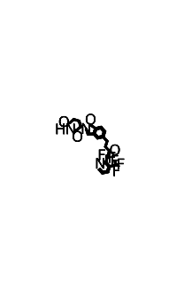 O=C1CCC(N2Cc3cc(CCC(=O)C(F)(F)c4ncccc4C(F)(F)F)ccc3C2=O)C(=O)N1